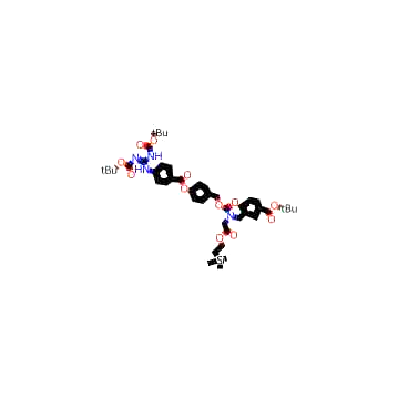 CC(C)(C)OC(=O)/N=C(/NC(=O)OC(C)(C)C)Nc1ccc(C(=O)Oc2ccc(COC(=O)N(CC(=O)OCC[Si](C)(C)C)Cc3cccc(C(=O)OC(C)(C)C)c3)cc2)cc1